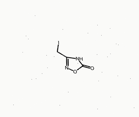 O=c1[nH]c(CI)no1